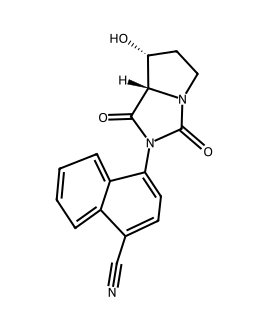 N#Cc1ccc(N2C(=O)[C@@H]3[C@H](O)CCN3C2=O)c2ccccc12